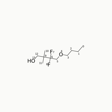 CCCCOCC(F)(F)C(C)(C)CO